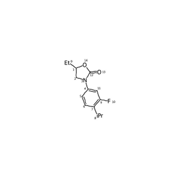 CCC1CN(c2ccc(C(C)C)c(F)c2)C(=O)O1